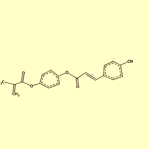 C=C(C)C(=O)Oc1ccc(OC(=O)/C=C/c2ccc(C#N)cc2)cc1